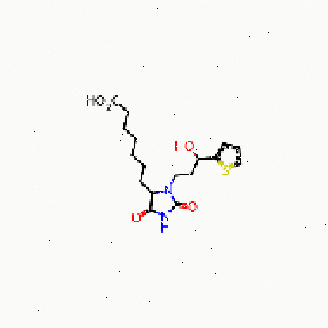 O=C(O)CCCCCCC1C(=O)NC(=O)N1CCC(O)c1cccs1